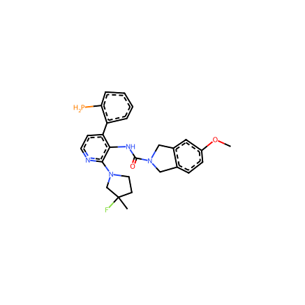 COc1ccc2c(c1)CN(C(=O)Nc1c(-c3ccccc3P)ccnc1N1CCC(C)(F)C1)C2